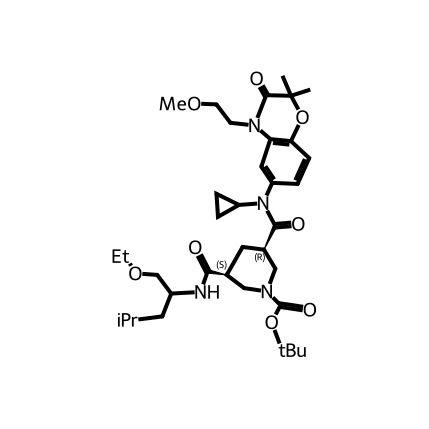 CCOCC(CC(C)C)NC(=O)[C@H]1C[C@@H](C(=O)N(c2ccc3c(c2)N(CCOC)C(=O)C(C)(C)O3)C2CC2)CN(C(=O)OC(C)(C)C)C1